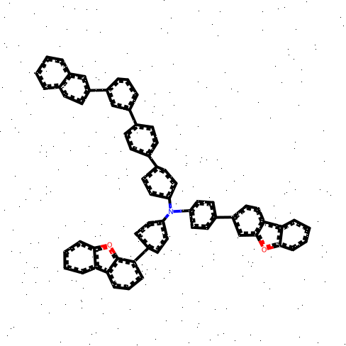 c1cc(-c2ccc(-c3ccc(N(c4ccc(-c5ccc6c(c5)oc5ccccc56)cc4)c4ccc(-c5cccc6c5oc5ccccc56)cc4)cc3)cc2)cc(-c2ccc3ccccc3c2)c1